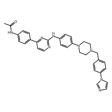 CC(=O)Nc1ccc(-c2ccnc(Nc3ccc(N4CCN(Cc5ccc(-n6ccnc6)cc5)CC4)cc3)n2)cc1